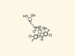 CC(C)(C)C[C@H]1N[C@@H](C(=O)NCCCN2C[C@@H](O)[C@H](O)C2)[C@H](c2ccc(F)c(Cl)c2)[C@@]12C(=O)Nc1cc(Cl)c(F)cc12